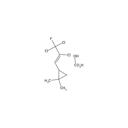 CC1(C)CC1C=C(Cl)C(F)(Cl)Cl.O=C(O)O